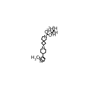 [2H]C([2H])([2H])C([2H])([2H])OC(=O)N1CCC2(CC(N3CCC(c4ccnn4C)CC3)C2)C1